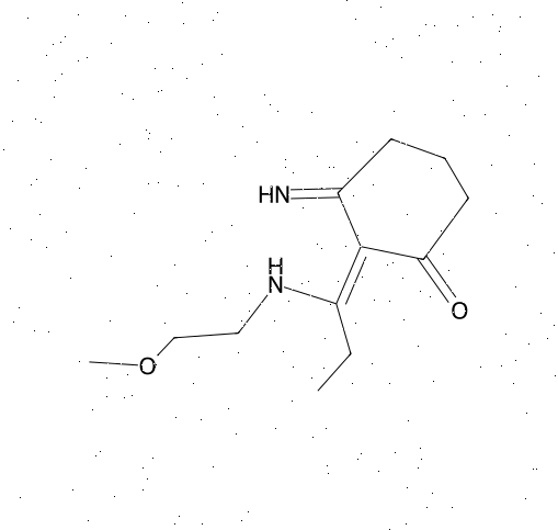 CC/C(NCCOC)=C1/C(=N)CCCC1=O